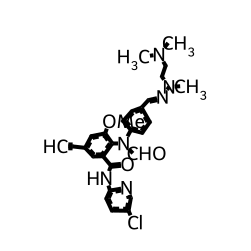 C#Cc1cc(OC)c(N(C=O)c2ccc(C=NN(C)CCN(C)C)cc2)c(C(=O)Nc2ccc(Cl)cn2)c1